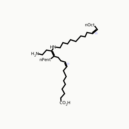 CCCCCCCC/C=C\CCCCCCCCNC(CCN)=C(CC/C=C\CCCCCCCC(=O)O)CCCCC